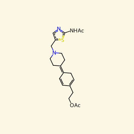 CC(=O)Nc1ncc(CN2CCC(=C3C=CC(CCOC(C)=O)=CC3)CC2)s1